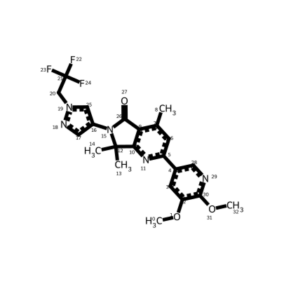 COc1cc(-c2cc(C)c3c(n2)C(C)(C)N(c2cnn(CC(F)(F)F)c2)C3=O)cnc1OC